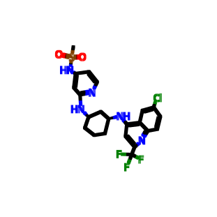 CS(=O)(=O)Nc1ccnc(N[C@@H]2CCC[C@H](Nc3cc(C(F)(F)F)nc4ccc(Cl)cc34)C2)c1